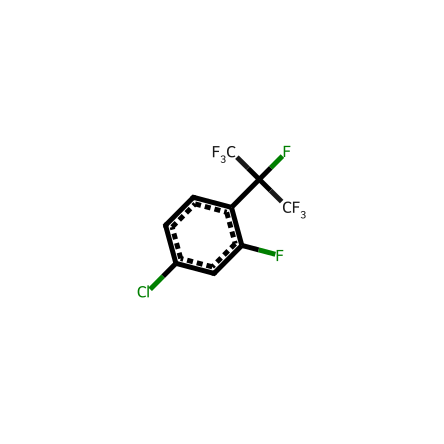 Fc1cc(Cl)ccc1C(F)(C(F)(F)F)C(F)(F)F